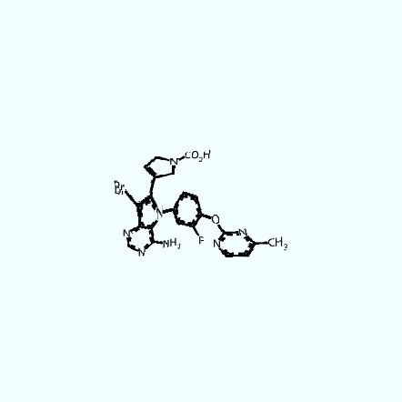 Cc1ccnc(Oc2ccc(-n3c(C4=CCN(C(=O)O)C4)c(Br)c4ncnc(N)c43)cc2F)n1